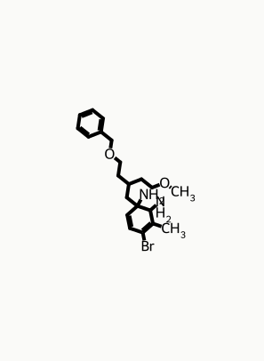 COCCC(CCOCc1ccccc1)CC1(N)C=CC(Br)=C(C)C1N